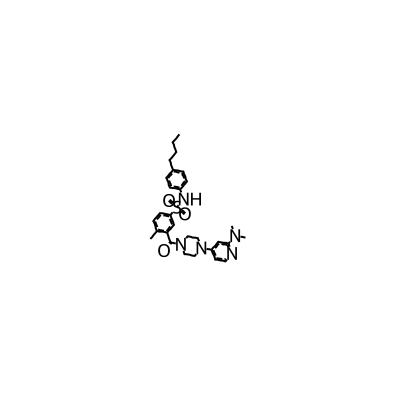 CCCCc1ccc(NS(=O)(=O)c2ccc(C)c(C(=O)N3CCN(c4ccnc(N(C)C)c4)CC3)c2)cc1